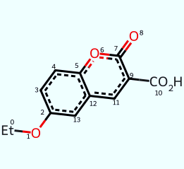 CCOc1ccc2oc(=O)c(C(=O)O)cc2c1